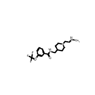 CNCCN1CCC(CNC(=O)c2cccc(OC(F)(F)F)c2)CC1